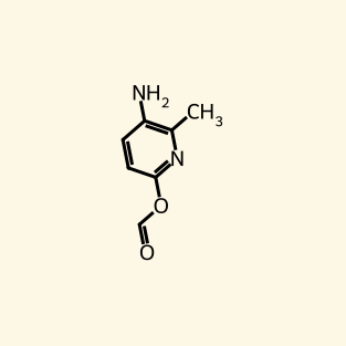 Cc1nc(OC=O)ccc1N